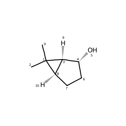 CC1(C)[C@H]2[C@H](O)CC[C@H]21